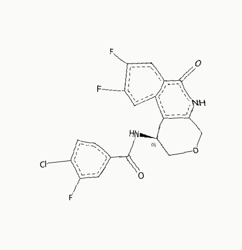 O=C(N[C@@H]1COCc2[nH]c(=O)c3cc(F)c(F)cc3c21)c1ccc(Cl)c(F)c1